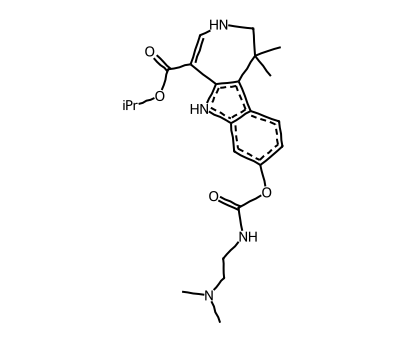 CC(C)OC(=O)C1=CNCC(C)(C)c2c1[nH]c1cc(OC(=O)NCCN(C)C)ccc21